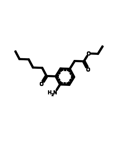 CCCCCC(=O)c1cc(CC(=O)OCC)ccc1N